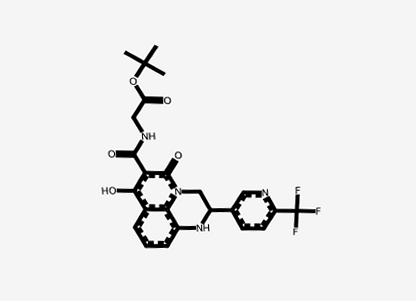 CC(C)(C)OC(=O)CNC(=O)c1c(O)c2cccc3c2n(c1=O)CC(c1ccc(C(F)(F)F)nc1)N3